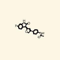 CC(=O)Nc1ccc(C2=C/C(=C3\C(=O)Nc4cc(F)ccc43)OC2)cc1